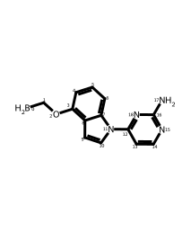 BCOc1cccc2c1ccn2-c1ccnc(N)n1